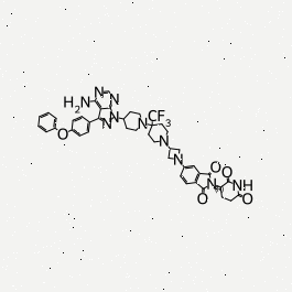 Nc1ncnc2c1c(-c1ccc(Oc3ccccc3)cc1)nn2C1CCN(C2(C(F)(F)F)CCN(C3CN(c4ccc5c(c4)C(=O)N([C@@H]4CCC(=O)NC4=O)C5=O)C3)CC2)CC1